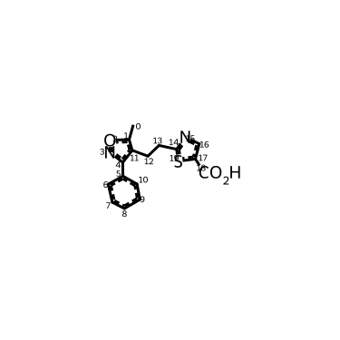 Cc1onc(-c2ccccc2)c1CCc1ncc(C(=O)O)s1